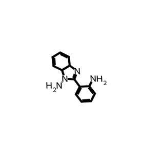 Nc1ccccc1C1=NC2C=CC=CC2N1N